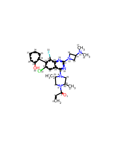 C=CC(=O)N1C[C@H](C)N(c2nc(N3CC(N(C)C)C3)nc3c(F)c(-c4ccccc4O)c(Cl)cc23)C[C@H]1C